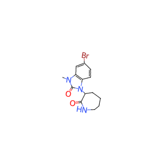 Cn1c(=O)n(C2CCCCNC2=O)c2ccc(Br)cc21